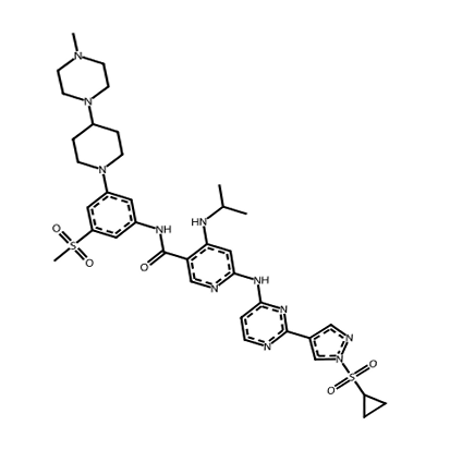 CC(C)Nc1cc(Nc2ccnc(-c3cnn(S(=O)(=O)C4CC4)c3)n2)ncc1C(=O)Nc1cc(N2CCC(N3CCN(C)CC3)CC2)cc(S(C)(=O)=O)c1